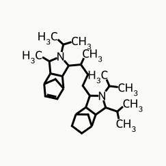 CC(C)C1C2C3CCC(C3)C2C(CCC(C)C2C3C4C=CC(C4)C3C(C)N2C(C)C)N1C(C)C